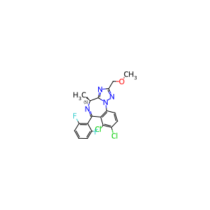 COCc1nc2n(n1)-c1ccc(Cl)c(Cl)c1C(c1c(F)cccc1F)=N[C@H]2C